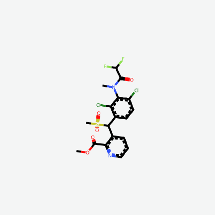 COC(=O)c1ncccc1C(c1ccc(Cl)c(N(C)C(=O)C(F)F)c1Cl)S(C)(=O)=O